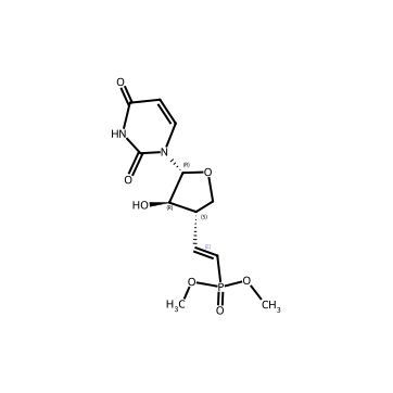 COP(=O)(/C=C/[C@H]1CO[C@@H](n2ccc(=O)[nH]c2=O)[C@@H]1O)OC